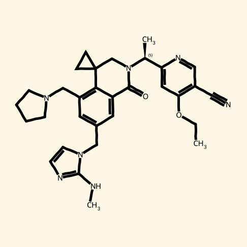 CCOc1cc([C@H](C)N2CC3(CC3)c3c(CN4CCCC4)cc(Cn4ccnc4NC)cc3C2=O)ncc1C#N